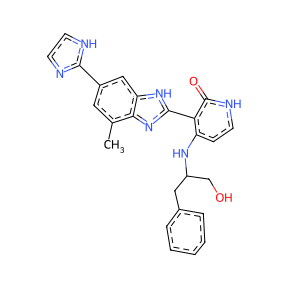 Cc1cc(-c2ncc[nH]2)cc2[nH]c(-c3c(NC(CO)Cc4ccccc4)cc[nH]c3=O)nc12